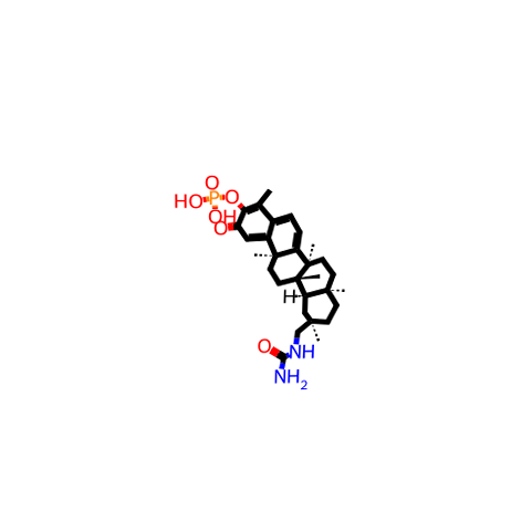 CC1=C(OP(=O)(O)O)C(=O)C=C2C1=CC=C1[C@@]2(C)CC[C@@]2(C)[C@@H]3C[C@](C)(CNC(N)=O)CC[C@]3(C)CC[C@]12C